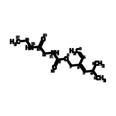 C=C/C(=C\C(C)C)COC(=O)NCC(=O)NCC